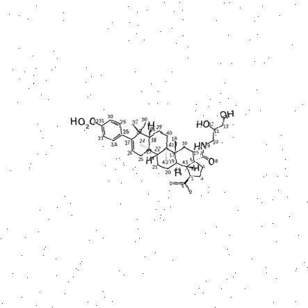 C=C(C)[C@@H]1CC[C@]2(C(=O)NCC(O)CO)CC[C@]3(C)[C@H](CC[C@@H]4[C@@]5(C)CC=C(c6ccc(C(=O)O)cc6)C(C)(C)[C@@H]5CC[C@]43C)[C@@H]12